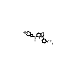 FC(F)(F)c1cccc(-c2cnc3ccc(NC4CC5(CCNCC5)C4)nn23)c1